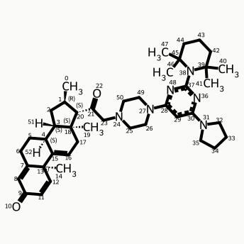 C[C@@H]1C[C@H]2[C@@H]3CCC4=CC(=O)C=C[C@]4(C)C3=CC[C@]2(C)[C@H]1C(=O)CN1CCN(c2cc(N3CCCC3)nc(N3C(C)(C)CCCC3(C)C)n2)CC1